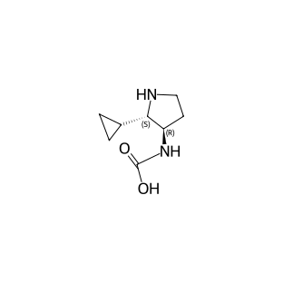 O=C(O)N[C@@H]1CCN[C@H]1C1CC1